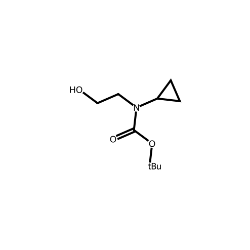 CC(C)(C)OC(=O)N(CCO)C1CC1